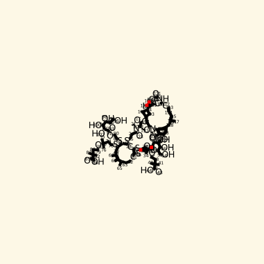 COc1cc2cc(c1Cl)N(C)C(=O)C[C@]1(OC(=O)[C@@H](C)N(C)C(=O)CCSC3CC(SCCC(C)(C)OCCC(C)(C)C(=O)O)C(SCCOC4OC(CO)C(O)C(O)C4O)CCCC(C)/C(C)=C(/C)CC(SCCC(C)(C)OCCC(C)(C)C(=O)O)C3SCCOC3OC(CO)C(O)C(O)C3O)C[C@@](C)(C1)[C@H](C)[C@@H]1CC(C/C=C/C=C(/C)C2)NC(=O)O1